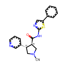 N#CN1C[C@H](C(=O)Nc2ncc(-c3ccccc3)s2)[C@@H](c2cccnc2)C1